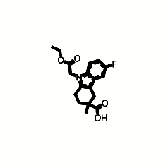 CCOC(=O)Cn1c2c(c3cc(F)ccc31)CC(C)(C(=O)O)CC2